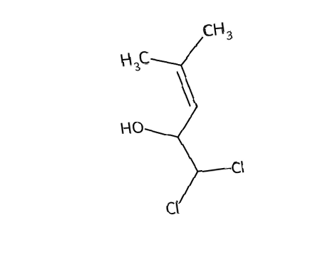 CC(C)=CC(O)C(Cl)Cl